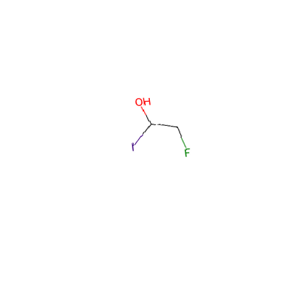 OC(I)CF